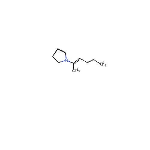 CCCC=C(C)N1CCCC1